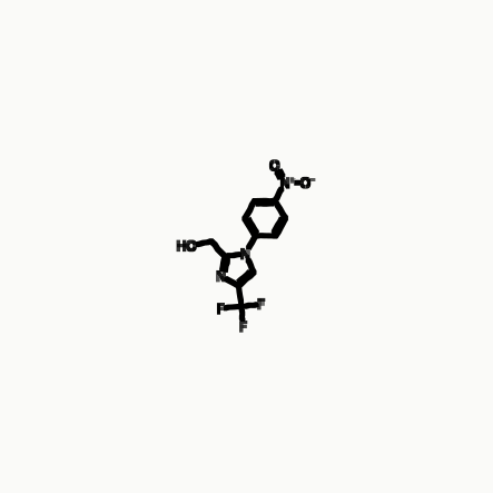 O=[N+]([O-])c1ccc(-n2cc(C(F)(F)F)nc2CO)cc1